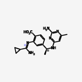 Cc1cc(N[C@@H](C)c2ccc(C(=O)O)c(/N=C(\N)C3CC3)c2)nc(N)n1